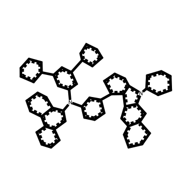 c1ccc(-c2cc(-c3ccccc3)cc(N(c3cccc(-c4cccc5c4c4cc6ccccc6cc4n5-c4ccccc4)c3)c3cc4ccccc4c4ccccc34)c2)cc1